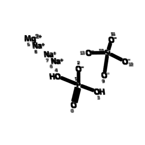 O=P([O-])(O)O.[Mg+2].[Na+].[Na+].[Na+].[O-][Si]([O-])([O-])[O-]